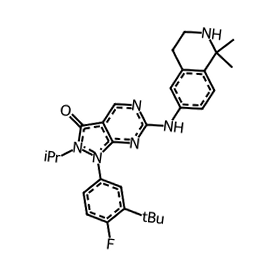 CC(C)n1c(=O)c2cnc(Nc3ccc4c(c3)CCNC4(C)C)nc2n1-c1ccc(F)c(C(C)(C)C)c1